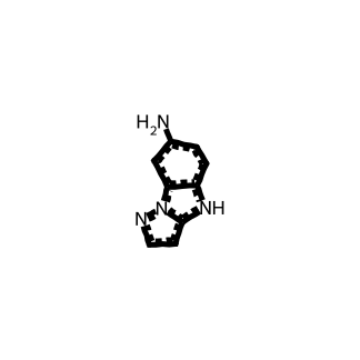 Nc1ccc2[nH]c3ccnn3c2c1